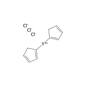 C1=CC[C]([Y+3][C]2=CC=CC2)=C1.[Cl-].[Cl-].[Cl-]